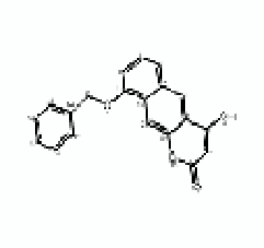 O=c1cc(O)c2cc3cccc(OCc4ccccc4)c3cc2o1